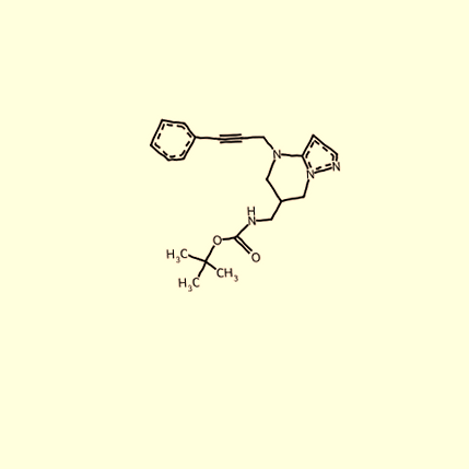 CC(C)(C)OC(=O)NCC1CN(CC#Cc2ccccc2)c2ccnn2C1